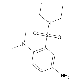 CCN(CC)S(=O)(=O)c1cc(N)ccc1N(C)C